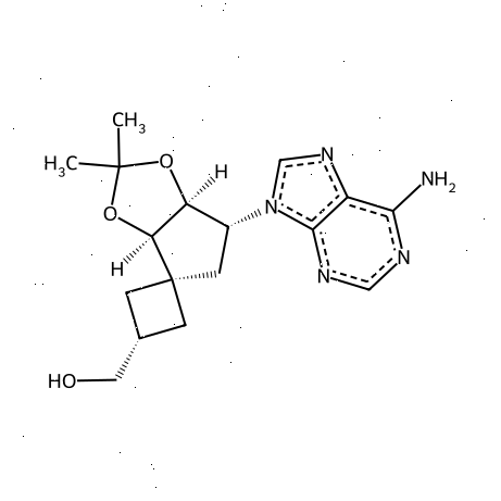 CC1(C)O[C@H]2[C@H](n3cnc4c(N)ncnc43)C[C@]3(C[C@@H](CO)C3)[C@H]2O1